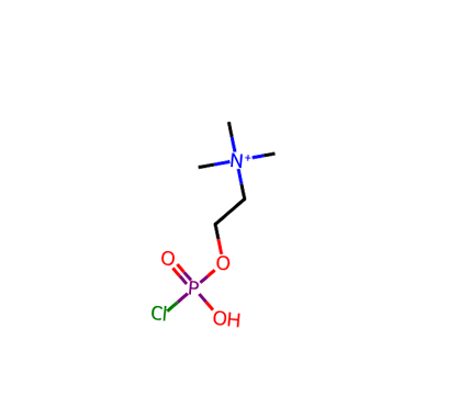 C[N+](C)(C)CCOP(=O)(O)Cl